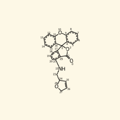 O=C1OC2(c3ccccc3Oc3ccccc32)c2cccc(NCC3C=CCO3)c21